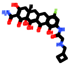 NC(=O)C1=C(O)C[C@@H]2CC3Cc4c(F)cc(NC(=O)CNCC5CCC5)c(O)c4C(=O)C3=C(O)[C@]2(O)C1=O